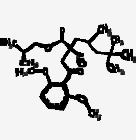 COc1cccc(OC)c1C(=O)CC(CC(C)CC(C)(C)C)(P=O)C(=O)OCC(C)C